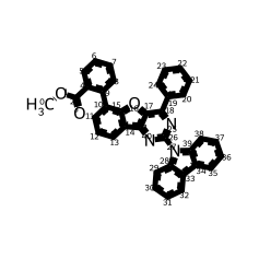 COC(=O)c1ccccc1-c1cccc2c1oc1c(-c3ccccc3)nc(-n3c4ccccc4c4ccccc43)nc12